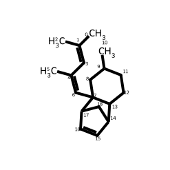 CC(C)=CC(C)=CC12CC(C)CCC1C1C=CC2C1